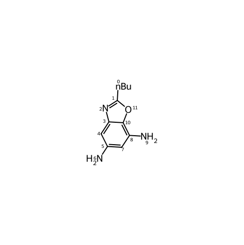 CCCCc1nc2cc(N)cc(N)c2o1